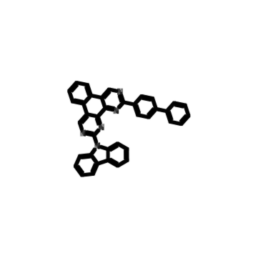 c1ccc(-c2ccc(-c3ncc4c5ccccc5c5cnc(-n6c7ccccc7c7ccccc76)nc5c4n3)cc2)cc1